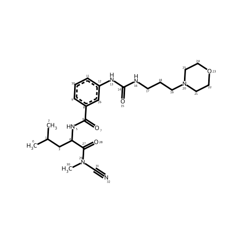 CC(C)CC(NC(=O)c1cccc(NC(=O)NCCCN2CCOCC2)c1)C(=O)N(C)C#N